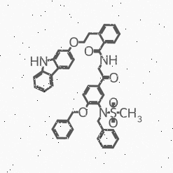 CS(=O)(=O)N(Cc1ccccc1)c1cc(C(=O)CNC(=O)c2ccccc2CCOc2ccc3c(c2)[nH]c2ccccc23)ccc1OCc1ccccc1